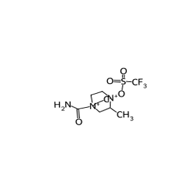 CC1C[N+]2(C(N)=O)CC[N+]1(OS(=O)(=O)C(F)(F)F)CC2